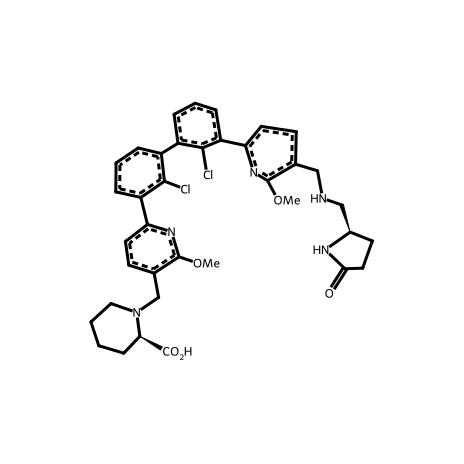 COc1nc(-c2cccc(-c3cccc(-c4ccc(CN5CCCC[C@@H]5C(=O)O)c(OC)n4)c3Cl)c2Cl)ccc1CNC[C@H]1CCC(=O)N1